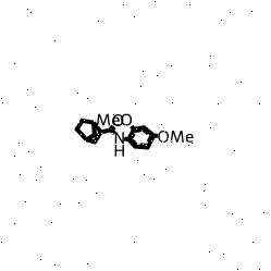 COc1ccc(NC(=O)C2CC3CCC2C3)c(OC)c1